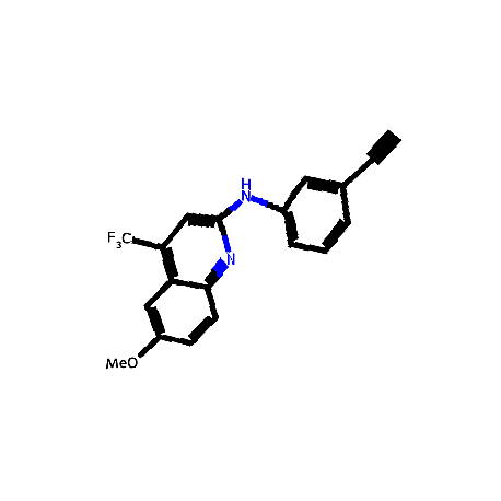 C#Cc1cccc(Nc2cc(C(F)(F)F)c3cc(OC)ccc3n2)c1